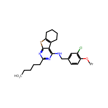 CC(C)Oc1ccc(CNc2nc(CCCCC(=O)O)nc3sc4c(c23)CCCC4)cc1Cl